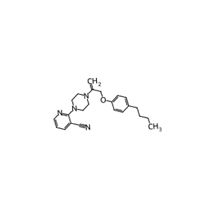 C=C(COc1ccc(CCCC)cc1)N1CCN(c2ncccc2C#N)CC1